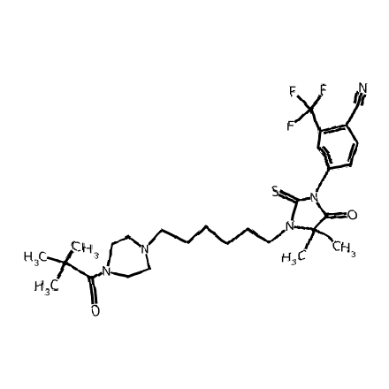 CC(C)(C)C(=O)N1CCN(CCCCCCN2C(=S)N(c3ccc(C#N)c(C(F)(F)F)c3)C(=O)C2(C)C)CC1